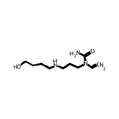 C=CN(CCCNCCCCO)C(N)=O